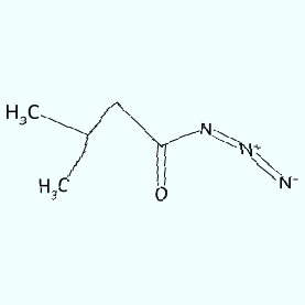 CC(C)CC(=O)N=[N+]=[N-]